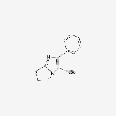 CC(C)(C)c1c(-c2ccccc2)nc2n1CCS2